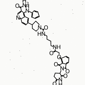 NC(=O)c1cnc2ccc(C3CCN(C(=O)NCCCCNC(=O)COc4cccc5c4C(=O)N(C4CCC(=O)NC4=O)C5=O)CC3)cc2c1Nc1ccccc1